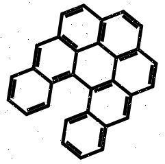 c1ccc2c(c1)cc1ccc3ccc4ccc5cc6ccccc6c6c5c4c3c1c26